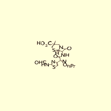 CCCON=C(C(=O)NC1C(=O)N2CC(C)(C(=O)O)CS[C@H]12)c1csc(NC=O)n1